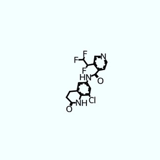 O=C1CCc2cc(NC(=O)c3ccncc3C(F)C(F)F)cc(Cl)c2N1